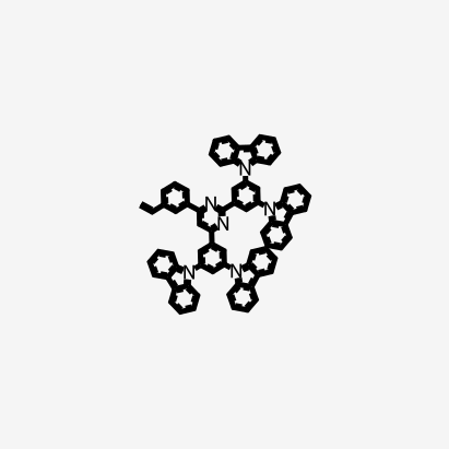 C=Cc1cccc(-c2cc(-c3cc(-n4c5ccccc5c5ccccc54)cc(-n4c5ccccc5c5ccccc54)c3)nc(-c3cc(-n4c5ccccc5c5ccccc54)cc(-n4c5ccccc5c5ccccc54)c3)n2)c1